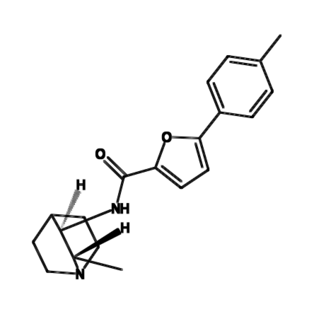 Cc1ccc(-c2ccc(C(=O)N[C@@H]3C4CCN(CC4)[C@H]3C)o2)cc1